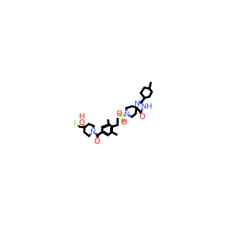 Cc1cc(C(=O)N2CCC(O)(CF)CC2)cc(C)c1CCS(=O)(=O)N1CCC2(CC1)N=C(C1CCC(C)CC1)NC2=O